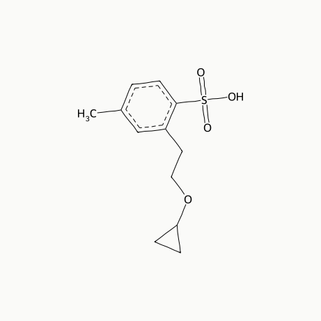 Cc1ccc(S(=O)(=O)O)c(CCOC2CC2)c1